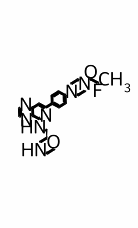 CC(F)C(=O)N1CCN(c2ccc(-c3cc4nccnc4c(NC[C@@H]4CNCCO4)n3)cc2)CC1